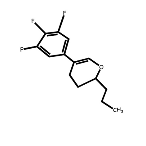 CCCC1CCC(c2cc(F)c(F)c(F)c2)=CO1